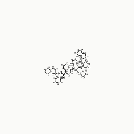 c1ccc2cc(-c3nc(-c4ccc(-n5c6cc7ccccc7cc6c6c(-n7c8ccccc8c8ccc9ccccc9c87)cccc65)c5ccccc45)nc4ccccc34)ccc2c1